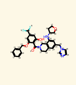 O=C(c1c(O)cc(C(F)F)cc1OCc1ccccc1)N1CCc2cc(Cn3ccnc3)cc(N[C@H]3CCOC3)c2C1